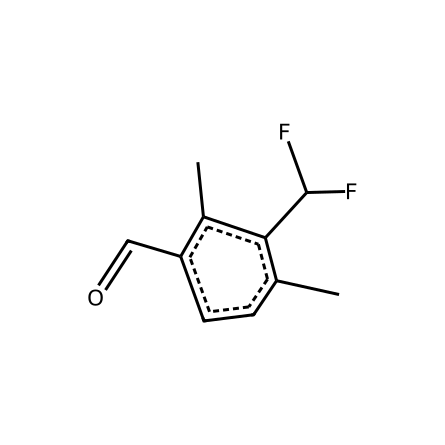 Cc1ccc(C=O)c(C)c1C(F)F